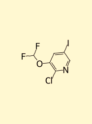 FC(F)Oc1cc(I)cnc1Cl